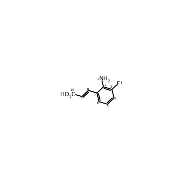 Nc1c(F)cccc1C=CC(=O)O